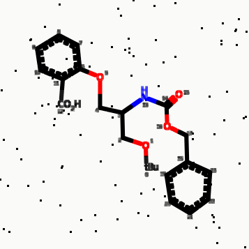 CC(C)(C)OCC(COc1ccccc1C(=O)O)NC(=O)OCc1ccccc1